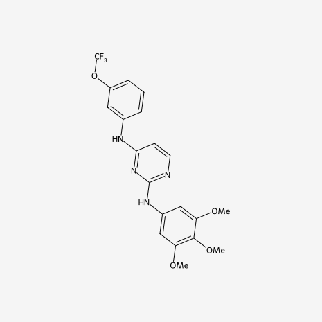 COc1cc(Nc2nccc(Nc3cccc(OC(F)(F)F)c3)n2)cc(OC)c1OC